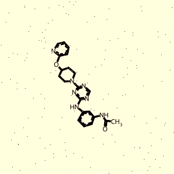 CC(=O)Nc1cccc(Nc2ncnc(N3CCC(Oc4ccccn4)CC3)n2)c1